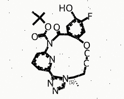 C[C@H]1CCCOc2cc(F)c(O)cc2C(=O)N(C(=O)OC(C)(C)C)c2cccc(n2)-c2nncn21